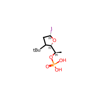 C[C@@H](OP(=O)(O)O)[C@H]1O[C@@H](I)CC1C(C)(C)C